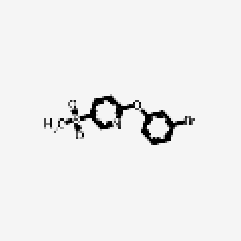 CS(=O)(=O)c1ccc(Oc2cccc(Br)c2)nc1